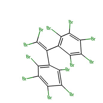 BrC(Br)=C(c1c(Br)c(Br)c(Br)c(Br)c1Br)c1c(Br)c(Br)c(Br)c(Br)c1Br